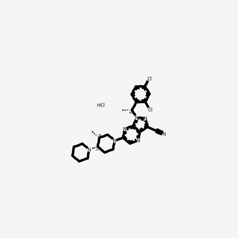 C[C@@H]1CN(c2cnc3c(C#N)nn([C@H](C)c4ccc(Cl)cc4Cl)c3n2)CC[C@@H]1N1CCCCC1.Cl